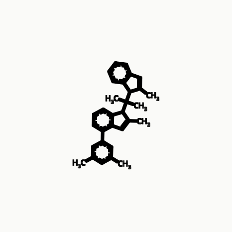 CC1=Cc2ccccc2C1C(C)(C)C1C(C)=Cc2c(-c3cc(C)cc(C)c3)cccc21